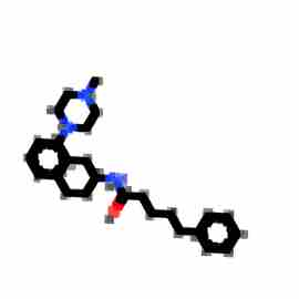 CN1CCN(c2cccc3c2CC(NC(=O)CCCCc2ccccc2)CC3)CC1